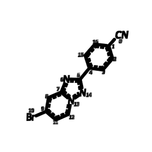 N#Cc1ccc(-c2nc3cc(Br)ccn3n2)cc1